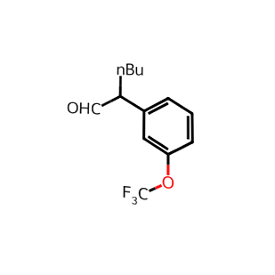 CCCCC(C=O)c1cccc(OC(F)(F)F)c1